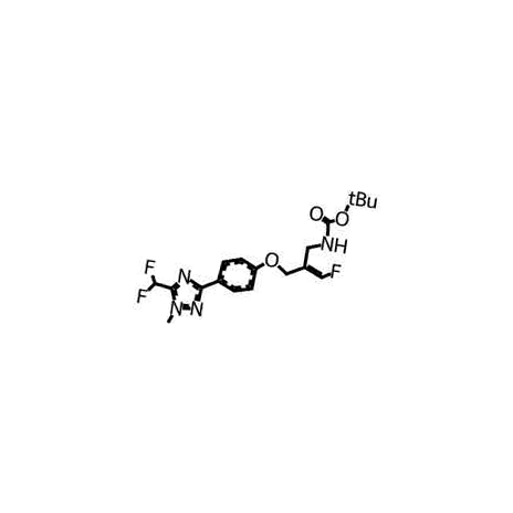 Cn1nc(-c2ccc(OC/C(=C/F)CNC(=O)OC(C)(C)C)cc2)nc1C(F)F